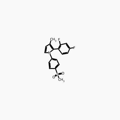 Cc1ccn(-c2ccc(S(C)(=O)=O)cc2)c1-c1ccc(F)cc1F